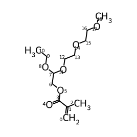 C=C(C)C(=O)OCC(OCC)OCCOCCOC